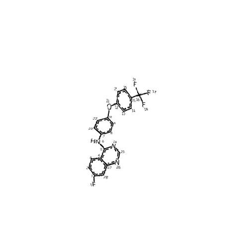 Fc1ccc2c(Nc3ccc(Oc4ccc(C(F)(F)F)cc4)cc3)ncnc2c1